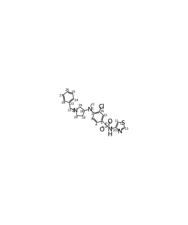 CN(c1ccc(S(=O)(=O)Nc2cscn2)cc1Cl)C1CCN(Cc2ccccc2)C1